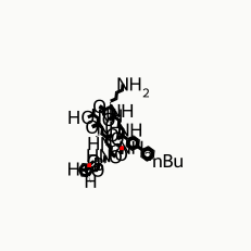 CCCCc1ccc(-c2ccc(C(=O)NCCC(=O)N[C@@H](CCCCN)C(=O)N[C@H](C(=O)N[C@@H](C)C(=O)N[C@@H](CC(N)=O)C(=O)NCB3OC4C[C@@H]5C[C@@H](C5(C)C)[C@]4(C)O3)C(C)O)cc2)cc1